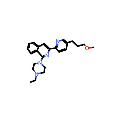 CCN1CCN(c2nc(-c3ccc(CCCOC)cn3)cc3ccccc23)CC1